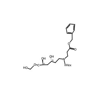 CCCCCCN(CCC(=O)OCc1ccccc1)CC[C@@H](O)C[C@H](O)COCO